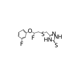 Fc1cccc(OC(F)CSCc2n[nH]c(=S)[nH]2)c1